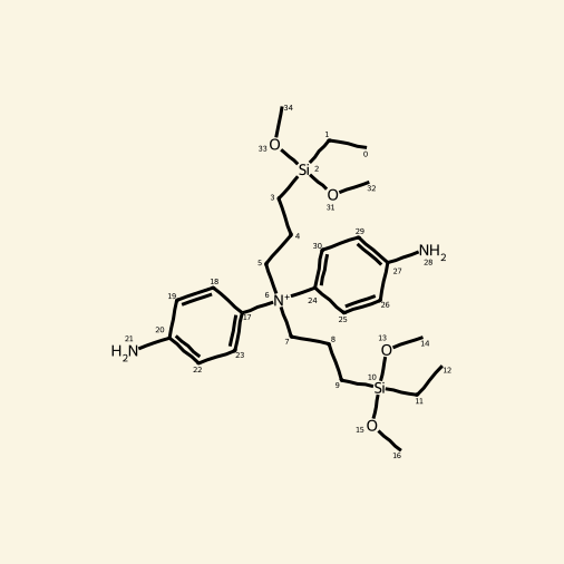 CC[Si](CCC[N+](CCC[Si](CC)(OC)OC)(c1ccc(N)cc1)c1ccc(N)cc1)(OC)OC